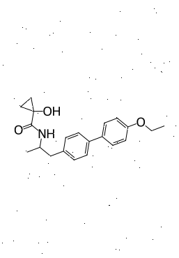 CCOc1ccc(-c2ccc(CC(C)NC(=O)C3(O)CC3)cc2)cc1